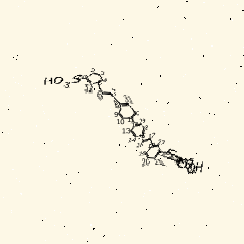 O=S(=O)(O)c1cccc(/C=C/c2ccc(-c3ccc(/C=C/c4cccc(SOOO)c4)cc3)cc2)c1